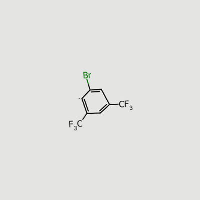 FC(F)(F)c1[c]c(Br)cc(C(F)(F)F)c1